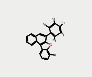 [2H]c1c([2H])c([2H])c(-c2cc3ccccc3c3c2oc2c(I)cccc23)c([2H])c1[2H]